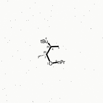 CCCO[C@H](C)[C@H](C)C(C)(C)C